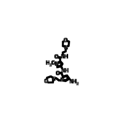 Cn1cc(NC(=O)c2cc(N)cn2CCN2CCOCC2)cc1C(=O)NCCN1CCOCC1